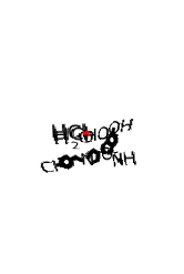 CNC[C@@H]1O[C@H](C2CCN(CCc3ccc(Cl)cc3)CC2)Cc2c1ccc(O)c2O.Cl.Cl.O